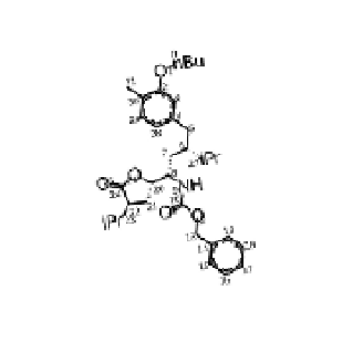 CCCCOc1cc(C[C@@H](C[C@H](NC(=O)OCc2ccccc2)[C@@H]2C[C@@H](C(C)C)C(=O)O2)C(C)C)ccc1C